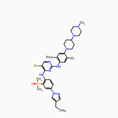 CCc1cc(Nc2ncc(Br)c(Nc3ccc(-n4cc(COC)cn4)cc3P(C)(C)=O)n2)c(OC)cc1N1CCC(N2CCN(C)CC2)CC1